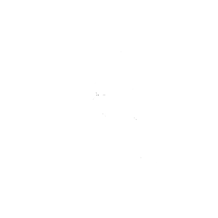 CC(=O)c1cc2c3c(c1)C1CC1(CNCCO[Si](C)(C)C(C)(C)C)COC3(c1ccc(Cl)cc1)N(Cc1ccc(Cl)cn1)C2=O